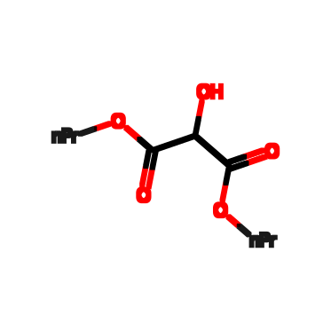 CCCOC(=O)C(O)C(=O)OCCC